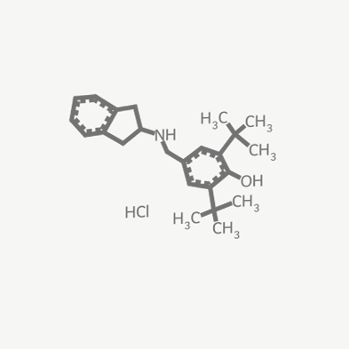 CC(C)(C)c1cc(CNC2Cc3ccccc3C2)cc(C(C)(C)C)c1O.Cl